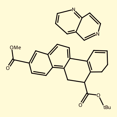 COC(=O)c1ccc2c3c(ccc2c1)C1=C(CCC=C1)C(C(=O)OC(C)(C)C)C3.c1cnc2ccncc2c1